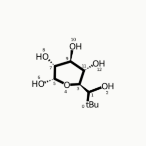 CC(C)(C)C(O)[C@H]1O[C@H](O)[C@H](O)[C@@H](O)[C@@H]1O